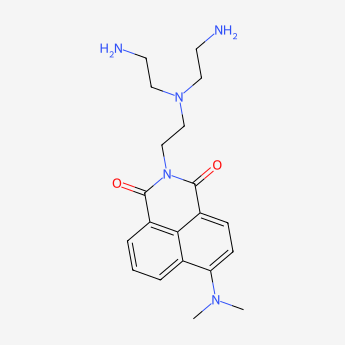 CN(C)c1ccc2c3c(cccc13)C(=O)N(CCN(CCN)CCN)C2=O